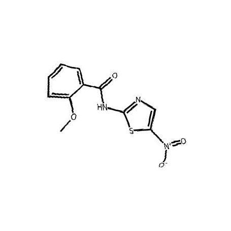 COc1ccccc1C(=O)Nc1ncc([N+](=O)[O-])s1